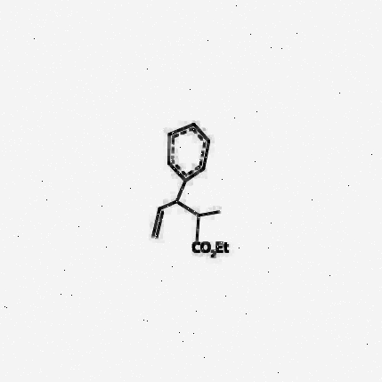 C=CC(c1ccccc1)C(C)C(=O)OCC